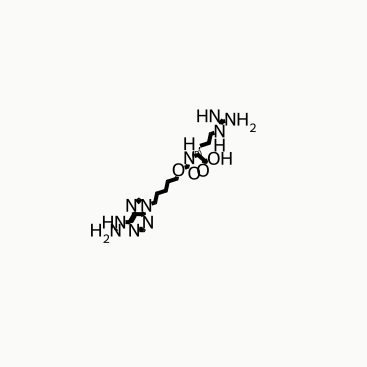 N=C(N)NCCC[C@@H](NC(=O)OCCCCCn1cnc2c(NN)ncnc21)C(=O)O